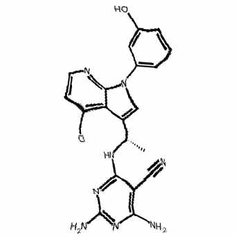 C[C@H](Nc1nc(N)nc(N)c1C#N)c1cn(-c2cccc(O)c2)c2nccc(Cl)c12